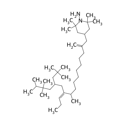 C=C(CCCCCCCC(C)/C(=C\CC)CC(CC(C)(C)C)CC(C)(C)C(C)C)CC1CC(C)(C)N(N)C(C)(C)C1